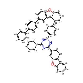 C1=CCC(c2nc(C3=Cc4oc5ccccc5c4CC3)nc(-c3ccc(C4=CC=CC5Oc6ccc(-c7ccc(-c8ccccc8)cc7)cc6C45)cc3)n2)C=C1